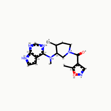 CCC1CCN(C(=O)c2cnoc2C)CC1N(C)c1ncnc2[nH]ccc12